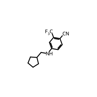 N#Cc1ccc(NCC2CCCC2)cc1C(F)(F)F